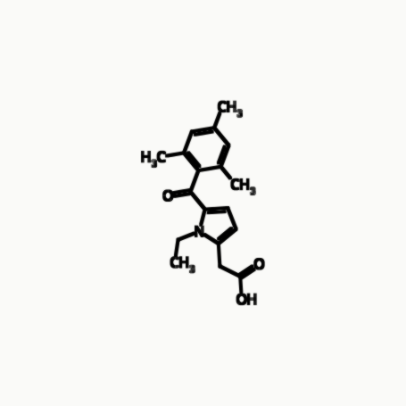 CCn1c(CC(=O)O)ccc1C(=O)c1c(C)cc(C)cc1C